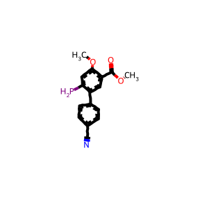 COC(=O)c1cc(-c2ccc(C#N)cc2)c(P)cc1OC